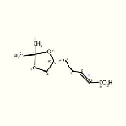 CC1(C)OC[C@@H](CC/C=C/C(=O)O)O1